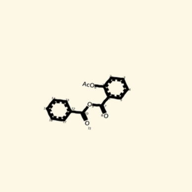 CC(=O)Oc1ccccc1C(=O)OC(=O)c1ccccc1